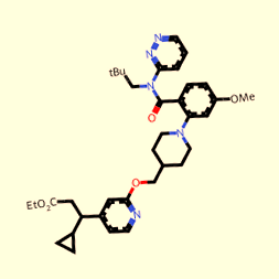 CCOC(=O)CC(c1ccnc(OCC2CCN(c3cc(OC)ccc3C(=O)N(CC(C)(C)C)c3cccnn3)CC2)c1)C1CC1